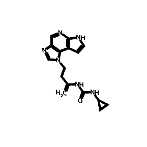 C=C(CCn1cnc2cnc3[nH]ccc3c21)NC(=O)NC1CC1